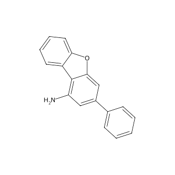 Nc1cc(-c2ccccc2)cc2oc3ccccc3c12